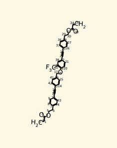 C=CC(=O)OCCc1ccc(C#Cc2ccc(COc3ccc(C#Cc4ccc(CCOC(=O)C=C)cc4)cc3C(F)(F)F)cc2)cc1